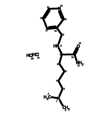 CN(C)CCCCC(NCc1cccnc1)C(N)=O.Cl.Cl